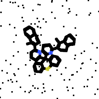 Cc1c(-c2cccc(C3(c4cccc(-c5ccc6ccccc6c5C)n4)c4ccccc4Sc4ccccc43)n2)ccc2ccccc12